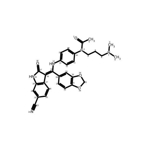 CC(=O)N(CCCN(C)C)c1ccc(N/C(=C2\C(=O)Nc3cc(C#N)ccc32)c2ccc3c(c2)OCO3)cc1